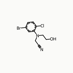 N#CCN(CCO)c1cc(Br)ccc1Cl